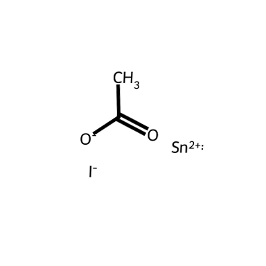 CC(=O)[O-].[I-].[Sn+2]